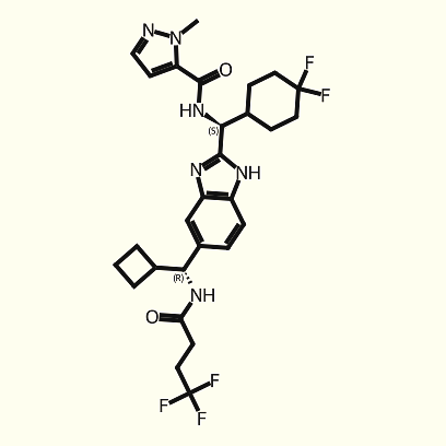 Cn1nccc1C(=O)N[C@H](c1nc2cc([C@H](NC(=O)CCC(F)(F)F)C3CCC3)ccc2[nH]1)C1CCC(F)(F)CC1